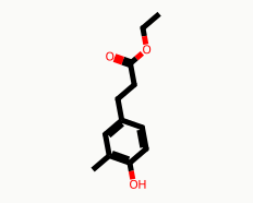 CCOC(=O)CCc1ccc(O)c(C)c1